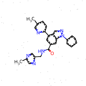 Cc1ccc(-c2cc(C(=O)NCc3cnc(C)cn3)cc3c2cnn3-c2ccccc2)nc1